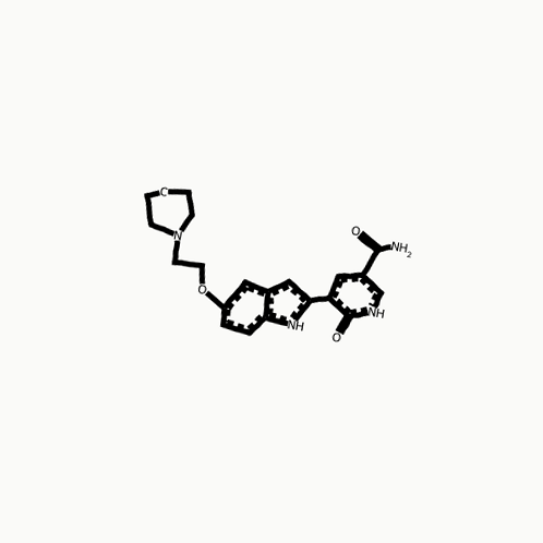 NC(=O)c1c[nH]c(=O)c(-c2cc3cc(OCCN4CCCCC4)ccc3[nH]2)c1